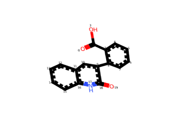 O=C(O)c1ccccc1-c1cc2ccccc2[nH]c1=O